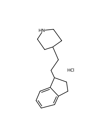 Cl.c1ccc2c(c1)CCC2CCC1CCNCC1